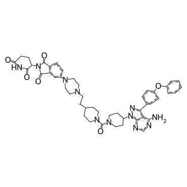 Nc1ncnc2c1c(-c1ccc(Oc3ccccc3)cc1)nn2C1CCN(C(=O)N2CCC(CCN3CCN(c4ccc5c(c4)C(=O)N(C4CCC(=O)NC4=O)C5=O)CC3)CC2)CC1